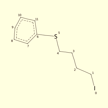 ICCCCSc1ccccc1